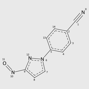 N#Cc1ccc(-n2ccc(N=O)n2)cc1